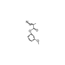 COc1cccc(OC(=O)C(C)=[N+]=[N-])c1